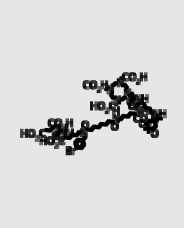 CC(NCCCC[C@H](NC(=O)CN1CCN(CC(=O)O)CCN(CC(=O)O)CCN(CC(=O)O)CC1)C(=O)N[C@@H](CCCCNC(=O)CCCCCCC(=O)N(CCCC[C@H](NC(=O)N[C@@H](CCC(=O)O)C(=O)O)C(=O)O)Cc1ccc(Br)cc1)C(=O)O)=C1CC(=O)C(C)(C)C(=O)C1